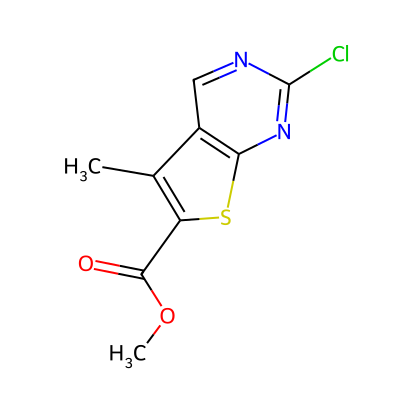 COC(=O)c1sc2nc(Cl)ncc2c1C